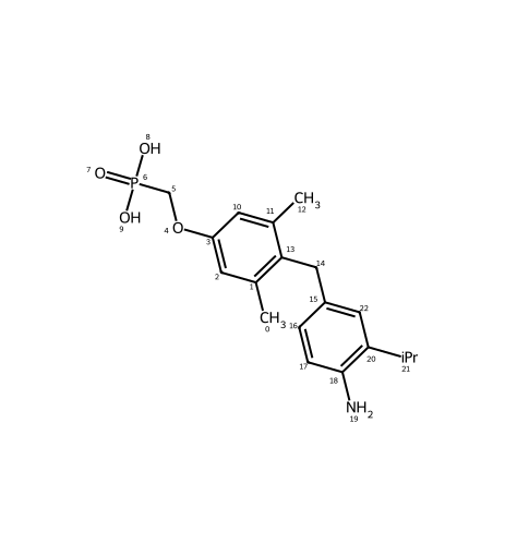 Cc1cc(OCP(=O)(O)O)cc(C)c1Cc1ccc(N)c(C(C)C)c1